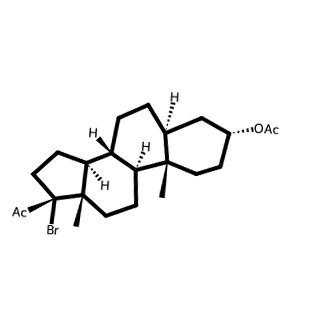 CC(=O)O[C@@H]1CC[C@@]2(C)[C@@H](CC[C@@H]3[C@@H]2CC[C@@]2(C)[C@H]3CC[C@]2(Br)C(C)=O)C1